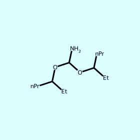 CCCC(CC)OC(N)OC(CC)CCC